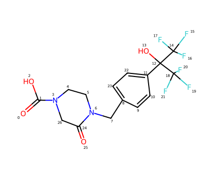 O=C(O)N1CCN(Cc2ccc(C(O)(C(F)(F)F)C(F)(F)F)cc2)C(=O)C1